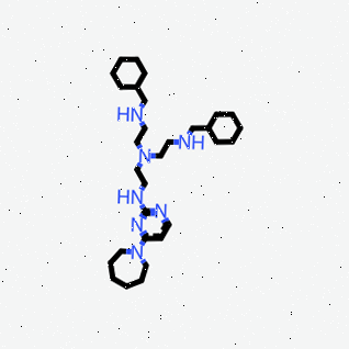 c1cc(N2CCCCCC2)nc(NCCN(CCNCC2CCCCC2)CCNCC2CCCCC2)n1